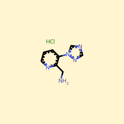 Cl.NCc1ncccc1-n1cncn1